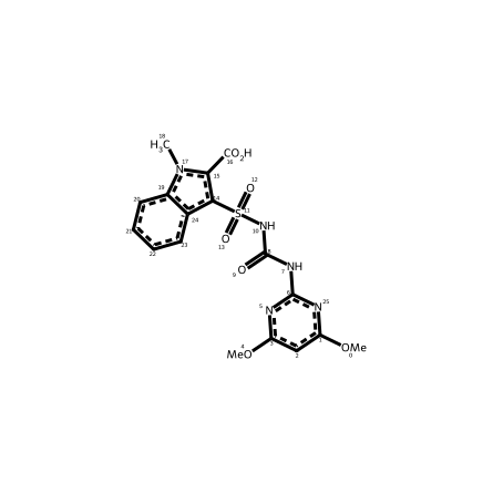 COc1cc(OC)nc(NC(=O)NS(=O)(=O)c2c(C(=O)O)n(C)c3ccccc23)n1